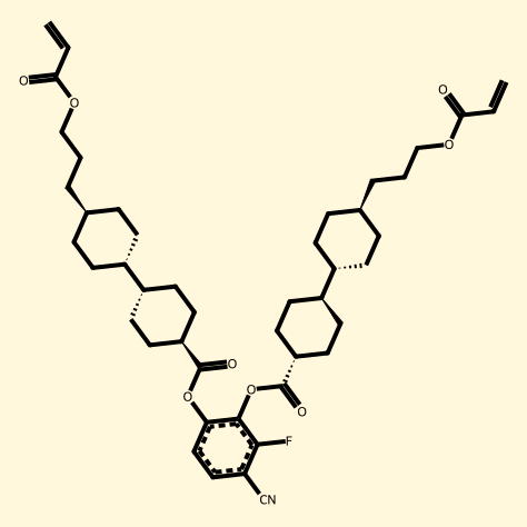 C=CC(=O)OCCC[C@H]1CC[C@H]([C@H]2CC[C@H](C(=O)Oc3ccc(C#N)c(F)c3OC(=O)[C@H]3CC[C@H]([C@H]4CC[C@H](CCCOC(=O)C=C)CC4)CC3)CC2)CC1